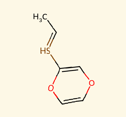 CC=[SH]C1=COC=CO1